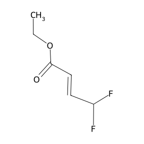 CCOC(=O)/C=C/C(F)F